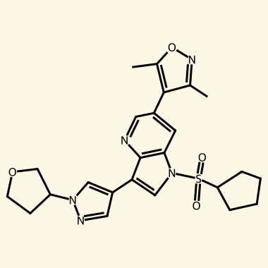 Cc1noc(C)c1-c1cnc2c(-c3cnn(C4CCOC4)c3)cn(S(=O)(=O)C3CCCC3)c2c1